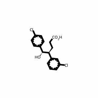 O=C(O)CC[C@@H](c1cccc(Cl)c1)[C@H](O)c1ccc(Cl)cc1